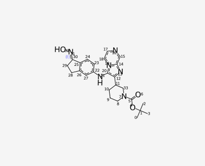 CC(C)(C)OC(=O)N1CCCC(c2nc3cnccn3c2Nc2ccc3c(c2)CC/C3=N\O)C1